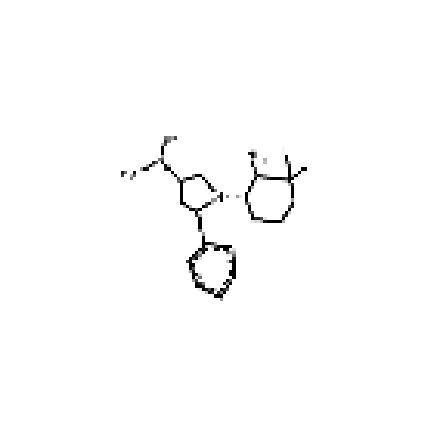 CC(C)N(C)[C@@H]1CC(c2ccccc2)N([C@H]2CCCC(F)(F)[C@@H]2N)C1